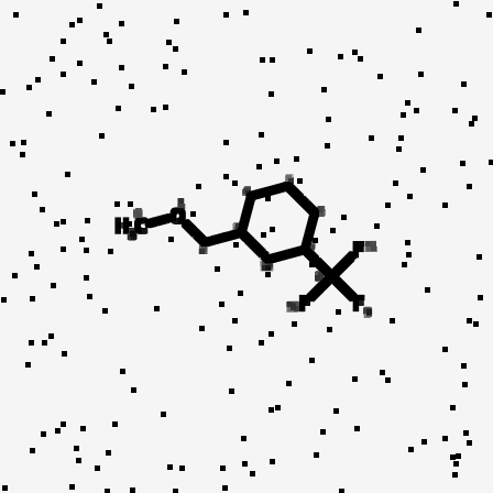 COCC1CCCC(C(F)(F)F)C1